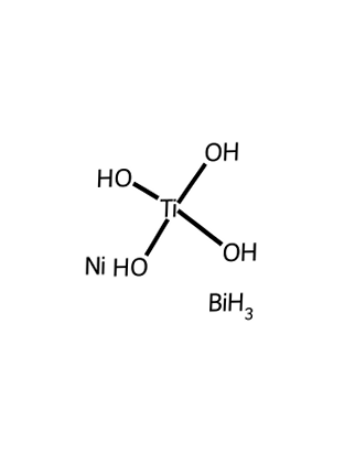 [BiH3].[Ni].[OH][Ti]([OH])([OH])[OH]